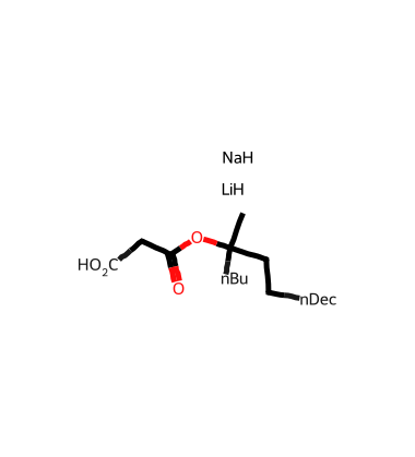 CCCCCCCCCCCCC(C)(CCCC)OC(=O)CC(=O)O.[LiH].[NaH]